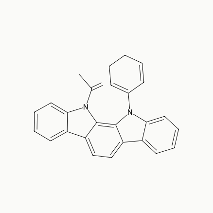 C=C(C)n1c2ccccc2c2ccc3c4ccccc4n(C4=CCCC=C4)c3c21